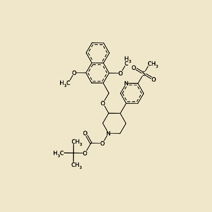 COc1cc(COC2CN(OC(=O)OC(C)(C)C)CCC2c2ccc(S(C)(=O)=O)nc2)c(OC)c2ccccc12